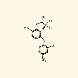 CCP(=O)(O)C(C)Oc1cc(Oc2ccc(C(F)(F)F)cc2Cl)ccc1[N+](=O)[O-]